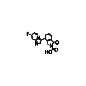 O=C(O)N1Cc2c(cccc2-c2cnc3cc(F)ccn23)C1=O